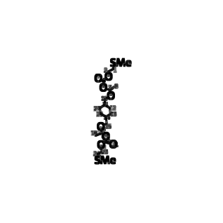 CSCCOC(=O)OC(C)OCC1CCC(COC(C)OC(=O)OCCSC)CC1